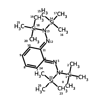 C[Si](C)(C)N(N=C1C=CC=CC1=NN([Si](C)(C)C)[Si](C)(C)C)[Si](C)(C)C